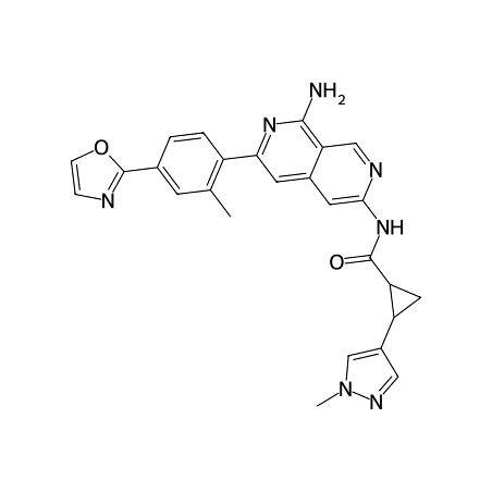 Cc1cc(-c2ncco2)ccc1-c1cc2cc(NC(=O)C3CC3c3cnn(C)c3)ncc2c(N)n1